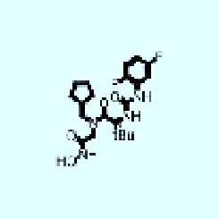 CC(C)(C)[C@H](NC(=O)Nc1cc(F)ccc1F)C(=O)N(CC(=O)NO)CC1CCCC1